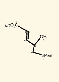 CCCCCCC(O)C=CC(=O)OCC